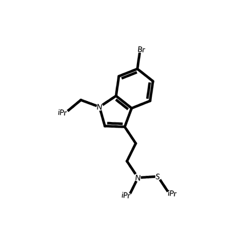 CC(C)Cn1cc(CCN(SC(C)C)C(C)C)c2ccc(Br)cc21